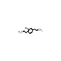 C=CCc1ccc(CC=C)c(Br)c1